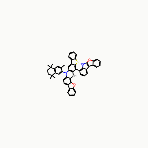 Cc1cc2c(cc1N1c3cc4c(sc5ccccc54)c(-c4cccc5c4[nH]c4oc6ccccc6c45)c3Bc3c1ccc1c3oc3ccccc31)C(C)(C)CCC2(C)C